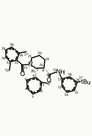 Cc1ccccc1[C@H]1[C@@H](C(=O)Nc2cccc(C(C)(C)C)c2)CCCN1C(=O)c1c(C)cccc1C